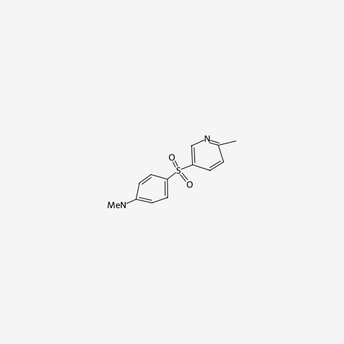 CNc1ccc(S(=O)(=O)c2ccc(C)nc2)cc1